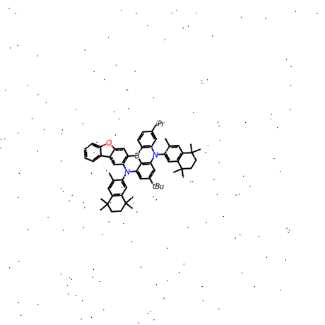 Cc1cc2c(cc1N1c3cc(C(C)C)ccc3B3c4cc5oc6ccccc6c5cc4N(c4cc5c(cc4C)C(C)(C)CCC5(C)C)c4cc(C(C)(C)C)cc1c43)C(C)(C)CCC2(C)C